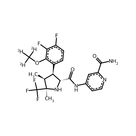 [2H]C([2H])([2H])Oc1c([C@H]2[C@H](C(=O)Nc3ccnc(C(N)=O)c3)N[C@@](C)(C(F)(F)F)[C@H]2C)ccc(F)c1F